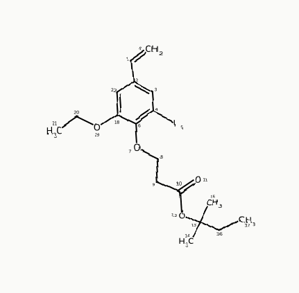 C=Cc1cc(I)c(OCCC(=O)OC(C)(C)CC)c(OCC)c1